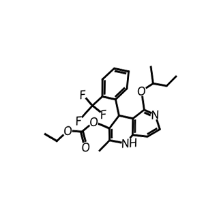 CCOC(=O)OC1=C(C)Nc2ccnc(OC(C)CC)c2C1c1ccccc1C(F)(F)F